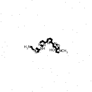 CN1CC[C@@](O)(c2cc(-c3cccc(-c4ccnc(Nc5cnn(CCN)c5)n4)n3)no2)C1=O